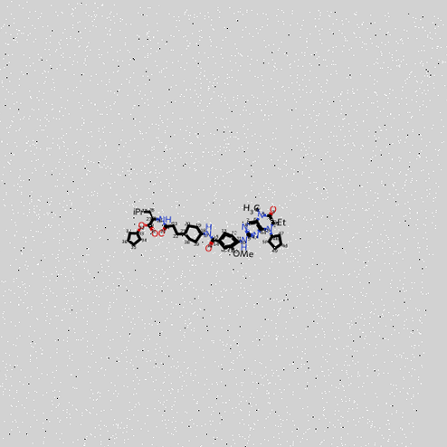 CC[C@H]1C(=O)N(C)c2cnc(Nc3ccc(C(=O)NC4CCC(CCC(=O)N[C@H](CC(C)C)C(=O)OC5CCCC5)CC4)cc3OC)nc2N1C1CCCC1